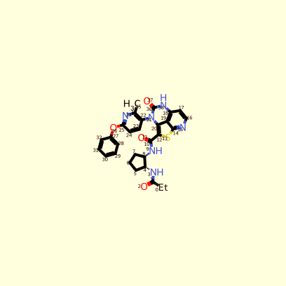 CCC(=O)N[C@@H]1CCC[C@H]1NC(=O)c1sc2nccc3c2c1N(c1ccc(Oc2ccccc2)nc1C)C(=O)N3